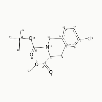 COC(=O)[C@H]1Cc2cc(Cl)ccc2CN1C(=O)OC(C)(C)C